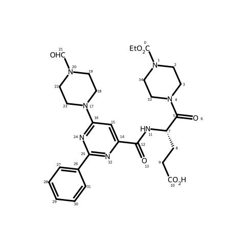 CCOC(=O)N1CCN(C(=O)[C@H](CCC(=O)O)NC(=O)c2cc(N3CCN(C=O)CC3)nc(-c3ccccc3)n2)CC1